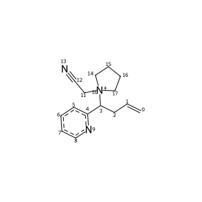 C=CCC(c1ccccn1)[N+]1(CC#N)CCCC1